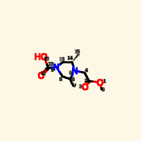 COC(=O)CN1C(C)CN(C(=O)O)C[C@@H]1C